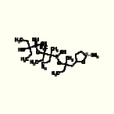 B[C@H]1CCC(CC(C)(CC)OP(O)C(C)(CC)C(C)(CC)O[PH](O)(O)C(O)(CC)CC)O1